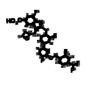 O=C(O)c1cc(F)c2nc(Cc3ccc(-c4ccc(F)c(OCc5ccc(C(F)F)cc5F)n4)cc3F)n(C[C@@H]3CCO3)c2c1